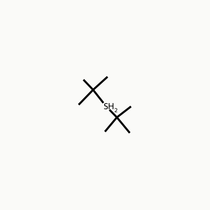 CC(C)(C)[SH2]C(C)(C)C